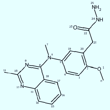 COc1ccc(N(C)c2nc(C)nc3ccccc23)cc1CC(=O)NN